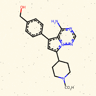 Nc1ncnn2c(C3CCN(C(=O)O)CC3)cc(-c3ccc(CO)cc3)c12